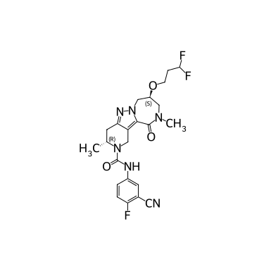 C[C@@H]1Cc2nn3c(c2CN1C(=O)Nc1ccc(F)c(C#N)c1)C(=O)N(C)C[C@H](OCCC(F)F)C3